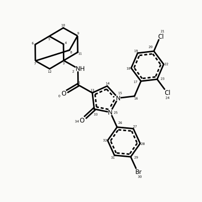 O=C(NC12CC3CC(CC(C3)C1)C2)c1cn(Cc2ccc(Cl)cc2Cl)n(-c2ccc(Br)cc2)c1=O